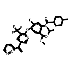 C=C(c1cccnc1)c1cnc(Oc2cc(C(=O)OC)c(N(C(=O)C3CCC(C)CC3)C(C)C)cc2F)c(C(F)(F)F)c1